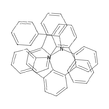 c1ccc(-c2cccc(-c3ccccc3)c2-n2c3ccccc3c3cccc(-c4ccccc4-n4c5ccccc5c5ccccc54)c32)cc1